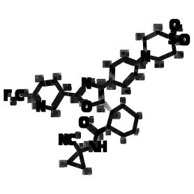 N#CC1(NC(=O)[C@@H]2CCCC[C@H]2c2oc(-c3ccc(C(F)(F)F)nc3)nc2-c2ccc(N3CCS(=O)(=O)CC3)cc2)CC1